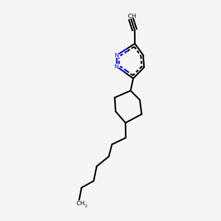 C#Cc1ccc(C2CCC(CCCCCCC)CC2)nn1